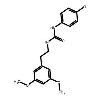 COc1cc(CCNC(=O)Nc2ccc(Cl)cc2)cc(OC)c1